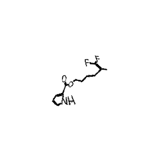 CC(CCCCOC(=O)c1ccc[nH]1)=C(F)F